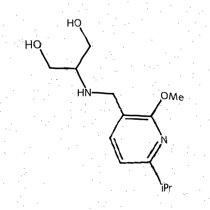 COc1nc(C(C)C)ccc1CNC(CO)CO